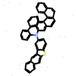 c1ccc(-c2ccccc2N(c2ccc3c(ccc4ccc5ccccc5c43)c2)c2ccc3sc4cc5ccccc5cc4c3c2)cc1